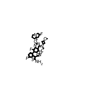 COC1CC(N2CCOc3c(Cl)c(-c4ccc(F)c5sc(N)c(C#N)c45)c(F)c4nc(OC[C@@]56CCCN5C[C@H](F)C6)nc2c34)C1